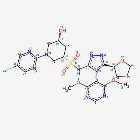 COc1ncnc(OC)c1-n1c(NS(=O)(=O)[C@H]2C[C@H](O)CN(c3ncc(F)cn3)C2)nnc1[C@@H]1CCCO1